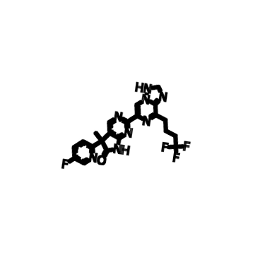 CC1(c2ccc(F)cn2)C(=O)Nc2nc(C3=CN4NCN=C4C(CCCC(F)(F)F)=N3)ncc21